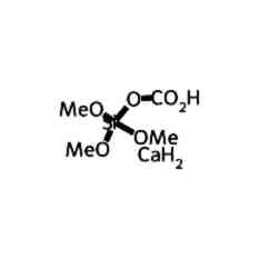 CO[Si](OC)(OC)OC(=O)O.[CaH2]